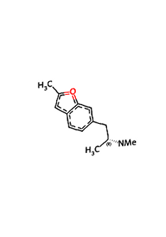 CN[C@H](C)Cc1ccc2cc(C)oc2c1